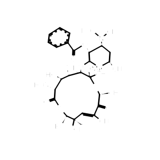 CC[C@H]1OC(=O)[C@H](C)[C@@H](O)[C@H](C)[C@@H](OC2O[C@H](C)C[C@H](N(C)C)[C@H]2OC(=O)c2ccccc2)[C@@](C)(OC)C[C@@H](C)C(=O)/C(C)=C/[C@@]1(O)CC